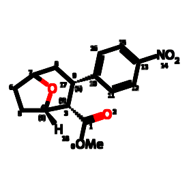 COC(=O)[C@@H]1[C@@H]2CCC(C[C@@H]1c1ccc([N+](=O)[O-])cc1)O2